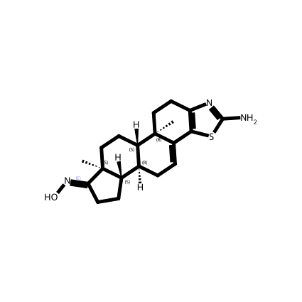 C[C@]12CCc3nc(N)sc3C1=CC[C@@H]1[C@@H]2CC[C@]2(C)/C(=N/O)CC[C@@H]12